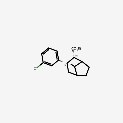 CCOC(=O)[C@@H]1C2CCC(C[C@@H]1c1cccc(Cl)c1)C2C